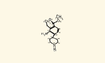 CCc1c(C(=O)OC)ccc(C2CCNCC2)c1N